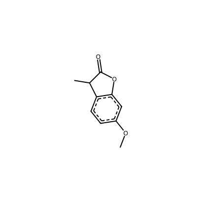 COc1ccc2c(c1)OC(=O)C2C